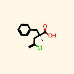 C=C(Cl)C[C@@](C)(Cc1ccccc1)C(=O)O